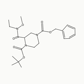 CCN(OC)C(=O)C1CN(C(=O)OCc2ccccc2)CCN1C(=O)OC(C)(C)C